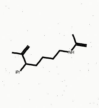 C=C(C)NCCCCC(C(=C)C)C(C)C